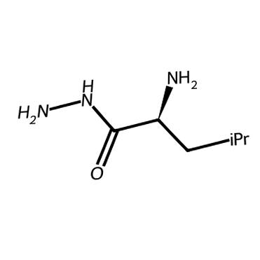 CC(C)C[C@H](N)C(=O)NN